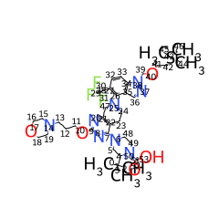 CC(C)(C)C1CN(c2nc(OCCCN3CCOCC3)nc3c2CCN(c2c(C(F)(F)F)ccc4c2cnn4COCC[Si](C)(C)C)C3)CCN1C(=O)O